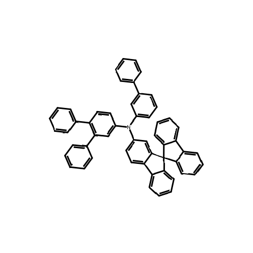 c1ccc(-c2cccc(N(c3ccc(-c4ccccc4)c(-c4ccccc4)c3)c3ccc4c(c3)C3(c5ccccc5-c5ccccc53)c3ccccc3-4)c2)cc1